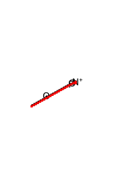 CCCCCCCCCCCCCCCC(=O)CCCCCCCCCCCCCCCCCCCCCC[P-]OCC[N+](C)(C)C